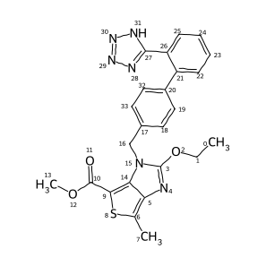 CCOc1nc2c(C)sc(C(=O)OC)c2n1Cc1ccc(-c2ccccc2-c2nnn[nH]2)cc1